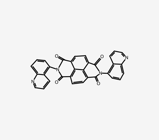 O=C1c2ccc3c4c(ccc(c24)C(=O)N1c1cccc2ncccc12)C(=O)N(c1cccc2ncccc12)C3=O